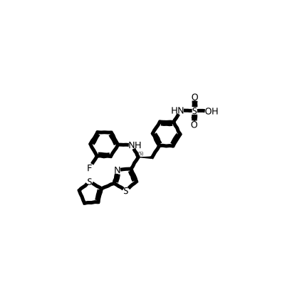 O=S(=O)(O)Nc1ccc(C[C@H](Nc2cccc(F)c2)c2csc(C3=CCCS3)n2)cc1